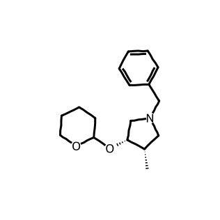 C[C@H]1CN(Cc2ccccc2)C[C@H]1OC1CCCCO1